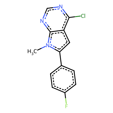 Cn1c(-c2ccc(F)cc2)cc2c(Cl)ncnc21